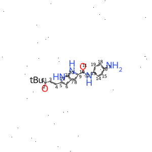 CC(C)(C)C(=O)/C=C/c1cc2cc(C(=O)Nc3ccc(N)cc3)[nH]c2[nH]1